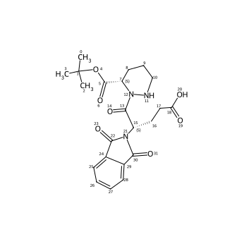 CC(C)(C)OC(=O)[C@@H]1CCCNN1C(=O)[C@H](CCC(=O)O)N1C(=O)c2ccccc2C1=O